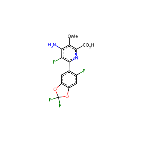 COc1c(C(=O)O)nc(-c2cc3c(cc2F)OC(F)(F)O3)c(F)c1N